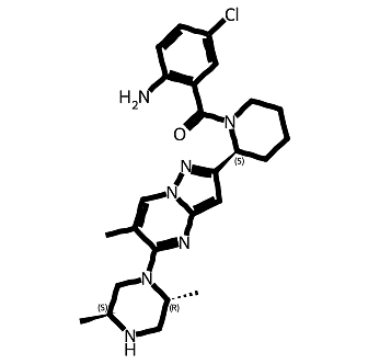 Cc1cn2nc([C@@H]3CCCCN3C(=O)c3cc(Cl)ccc3N)cc2nc1N1C[C@H](C)NC[C@H]1C